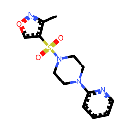 Cc1nocc1S(=O)(=O)N1CCN(c2ccccn2)CC1